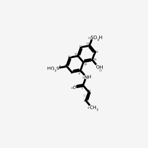 C/C=C/C(=O)Nc1cc(S(=O)(=O)O)cc2cc(S(=O)(=O)O)cc(O)c12